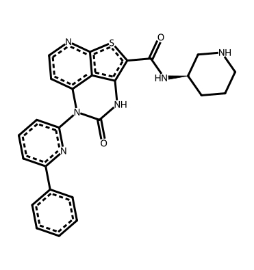 O=C(N[C@@H]1CCCNC1)c1sc2nccc3c2c1NC(=O)N3c1cccc(-c2ccccc2)n1